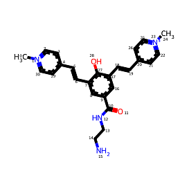 C[n+]1ccc(/C=C/c2cc(C(=O)NCCN)cc(/C=C/c3cc[n+](C)cc3)c2O)cc1